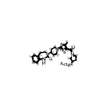 CC(=O)NC1CCN(C(=O)c2sc(N3CCC(N4CCc5ccccc5NC4=O)CC3)nc2C)C1